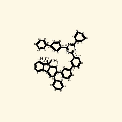 CC1(C)c2ccccc2-c2cc(-c3ccccc3)c(-c3cccc(-c4cccc(-c5nc(-c6ccccc6)nc(-c6ccc(-c7ccccc7)cc6)n5)c4)c3)cc21